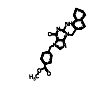 COC(=O)c1ccc(Cn2cnc3c2c(=O)nc(N)n3Cc2ccc3ccccc3c2)cc1